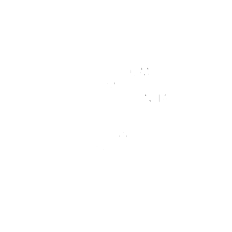 COC(=O)C(CSC(C(=O)OCc1ccccc1)c1ccccc1)NC(C)=O